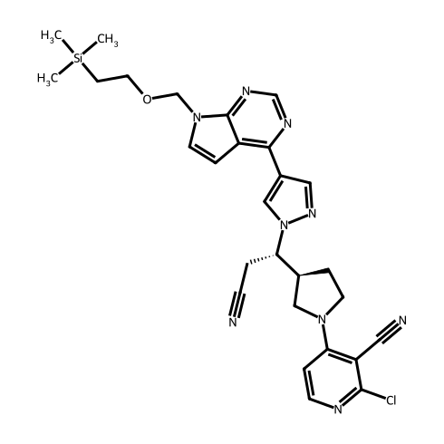 C[Si](C)(C)CCOCn1ccc2c(-c3cnn([C@@H](CC#N)[C@H]4CCN(c5ccnc(Cl)c5C#N)C4)c3)ncnc21